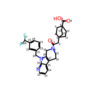 O=C(CC12CCC(C(=O)O)(CC1)CC2)N1CCc2c(n(Cc3cccc(C(F)F)c3)c3ncccc23)C1